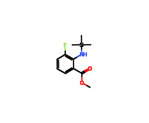 COC(=O)c1cccc(F)c1N[Si](C)(C)C